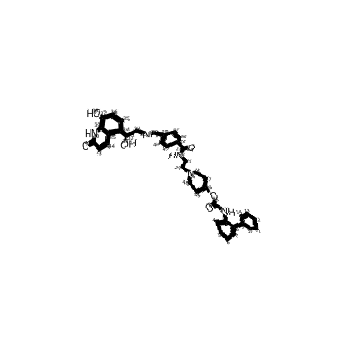 O=C(Nc1ccccc1-c1ccccc1)OC1CCN(CCNC(=O)c2ccc(CNC[C@@H](O)c3ccc(O)c4[nH]c(=O)ccc34)cc2)CC1